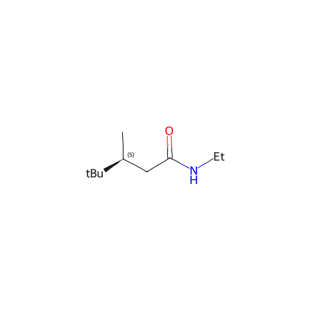 CCNC(=O)C[C@H](C)C(C)(C)C